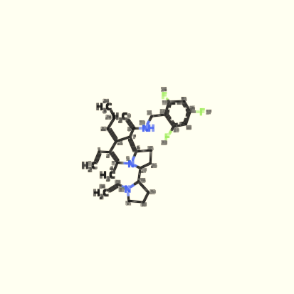 C=CC1=C(C)N2C(=C(C(=C)NCc3c(F)cc(F)cc3F)/C1=C\CC)CCC2C1CCCN1C=C